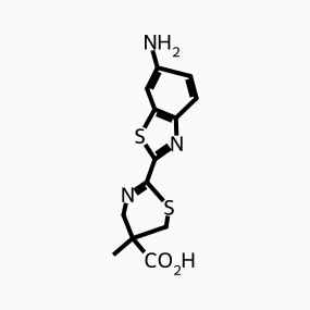 CC1(C(=O)O)CN=C(c2nc3ccc(N)cc3s2)SC1